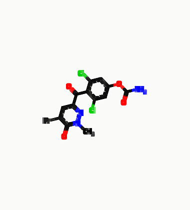 CC(C)c1cc(C(=O)c2c(Cl)cc(OC(N)=O)cc2Cl)nn(C)c1=O